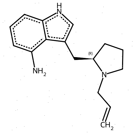 C=CCN1CCC[C@@H]1Cc1c[nH]c2cccc(N)c12